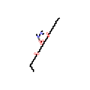 CCCC/C=C\CCCCCCCC(=O)OCCCCCCC(CCCCCCOC(=O)CCCCCCCCCCCCC)OC(=O)OCCN(CC)CCN(CC)CC